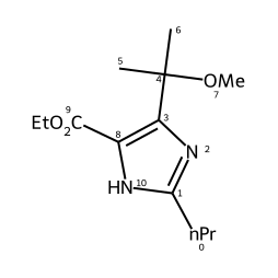 CCCc1nc(C(C)(C)OC)c(C(=O)OCC)[nH]1